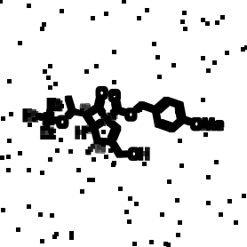 CC[Si](CC)(CC)OC(C)[C@H]1C(=O)[N+]2(C(=O)OCc3ccc(OC)cc3)C=C(CO)[C@H](C)[C@@H]12